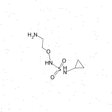 NCCONS(=O)(=O)NC1CC1